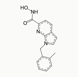 Cc1ccccc1Cn1ccc2ccc(C(=O)NO)nc21